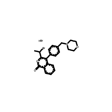 Br.CC(Br)c1oc(=O)c2ccccc2c1-c1ccc(CN2CCOCC2)cc1